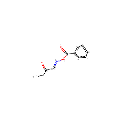 CCC(=O)C=NOC(=O)c1ccccc1